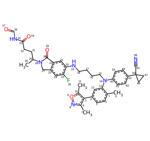 Cc1ccc(-c2c(C)noc2C)cc1N(CCCCNc1cc2c(cc1F)CN(C(C)CCC(=O)NC=O)C2=O)c1ccc(C2(C#N)CC2)cc1